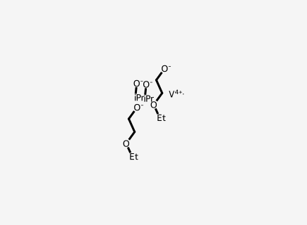 CC(C)[O-].CC(C)[O-].CCOCC[O-].CCOCC[O-].[V+4]